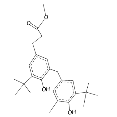 COC(=O)CCc1cc(Cc2cc(C)c(O)c(C(C)(C)C)c2)c(O)c(C(C)(C)C)c1